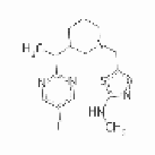 CNc1ncc(CN2CCCC(C(C)c3ncc(F)cn3)C2)s1